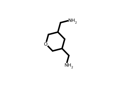 NCC1COCC(CN)C1